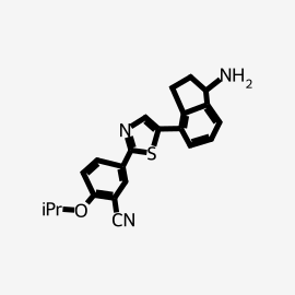 CC(C)Oc1ccc(-c2ncc(-c3cccc4c3CCC4N)s2)cc1C#N